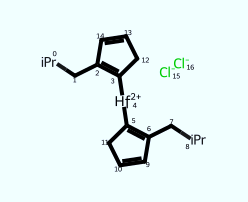 CC(C)CC1=[C]([Hf+2][C]2=C(CC(C)C)C=CC2)CC=C1.[Cl-].[Cl-]